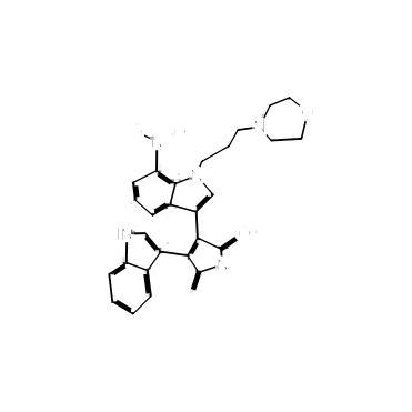 O=C1NC(=O)C(c2cn(CCCN3CCOCC3)c3c([N+](=O)[O-])cccc23)=C1c1c[nH]c2ccccc12